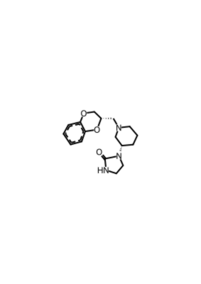 O=C1NCCN1[C@H]1CCCN(C[C@H]2COc3ccccc3O2)C1